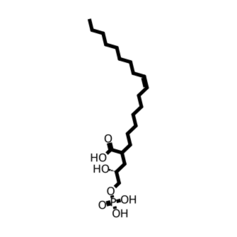 CCCCCCCC/C=C\CCCCCCC(C[C@@H](O)COP(=O)(O)O)C(=O)O